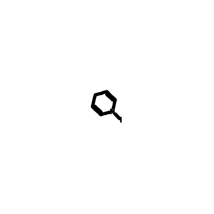 IN1C=CCC=C1